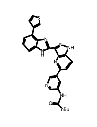 CCCCC(=O)Nc1cncc(-c2ccc3[nH]nc(-c4nc5c(-c6ccsc6)cccc5[nH]4)c3n2)c1